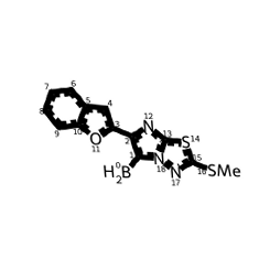 Bc1c(-c2cc3ccccc3o2)nc2sc(SC)nn12